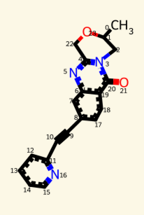 CC1Cn2c(nc3cc(C#Cc4ccccn4)ccc3c2=O)CO1